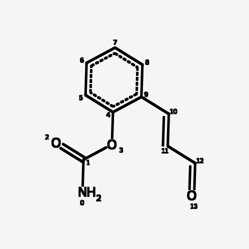 NC(=O)Oc1ccccc1C=CC=O